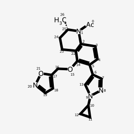 CC(=O)N1c2ccc(-c3cnn(C4CC4)c3)c(OCc3ccno3)c2CC[C@@H]1C